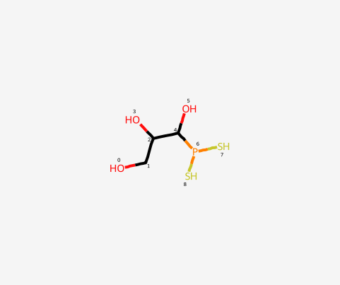 OCC(O)C(O)P(S)S